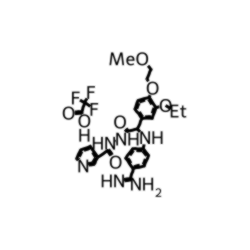 CCOc1cc(C(Nc2ccc(C(=N)N)cc2)C(=O)NNC(=O)c2cccnc2)ccc1OCCOC.O=C(O)C(F)(F)F